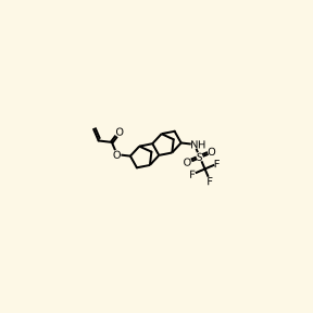 C=CC(=O)OC1CC2CC1C1C3CC(NS(=O)(=O)C(F)(F)F)C(C3)C21